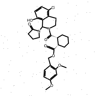 COc1ccc(COC(=O)[C@H]2CCCC[C@H]2C(=O)N2CCc3c(Cl)ccc(O)c3C2N2CCCC2=O)c(OC)c1